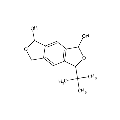 CC(C)(C)C1OC(O)c2cc3c(cc21)COC3O